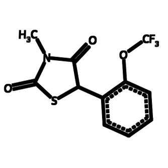 CN1C(=O)SC(c2ccccc2OC(F)(F)F)C1=O